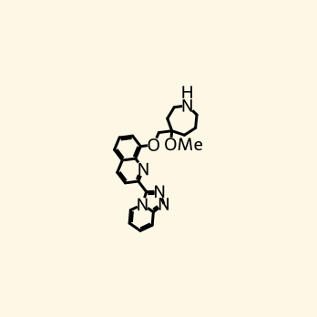 COC1(COc2cccc3ccc(-c4nnc5ccccn45)nc23)CCCNCC1